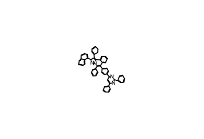 C1=CCCC(c2c(-c3cccc4ccccc34)nn3c(-c4ccccc4)c(-c4ccc(-c5cc(-c6ccccc6)nc(-c6ccccc6)n5)cc4)c4ccccc4c23)=C1